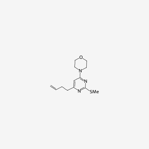 C=CCCc1cc(N2CCOCC2)nc(SC)n1